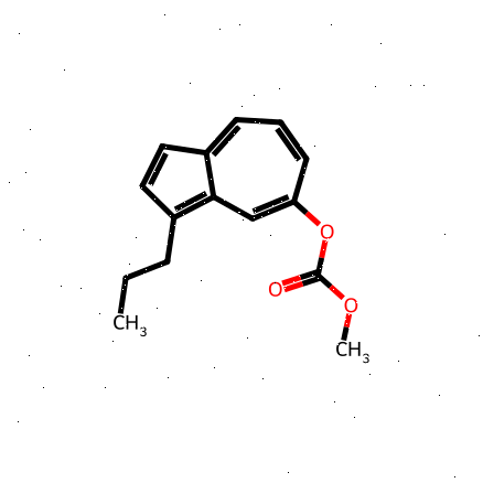 CCCc1ccc2cccc(OC(=O)OC)cc1-2